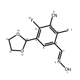 N#Cc1c(F)c(C=NO)cc(C2OCCO2)c1F